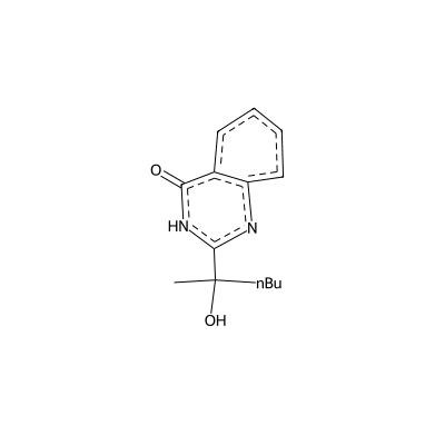 CCCCC(C)(O)c1nc2ccccc2c(=O)[nH]1